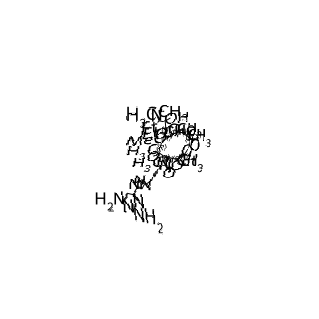 CCO[C@@H](O[C@@H]1[C@@H](C)C(=O)[C@](C)(F)C(=O)O[C@H](CC)[C@@]2(C)OC(=O)N(CC#CCn3cc(-c4cc(N)nc(N)n4)nn3)[C@@H]2[C@@H](C)C(=O)[C@H](C)C[C@@]1(C)OC)C(O)C(CC)N(C)C